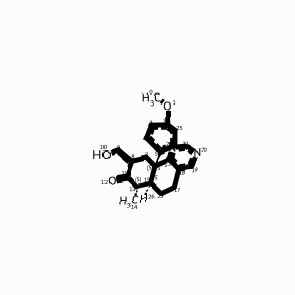 COc1ccc([C@]23CC(=CO)C(=O)[C@@H](C)[C@@H]2CCc2cncnc23)cc1